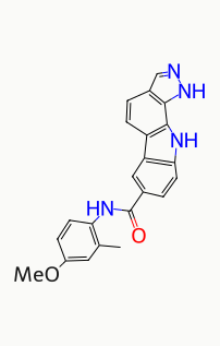 COc1ccc(NC(=O)c2ccc3[nH]c4c(ccc5cn[nH]c54)c3c2)c(C)c1